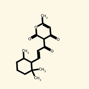 CC1=CC(=O)C(C(=O)C=CC2C(C)CCCC2(C)C)C(=O)O1